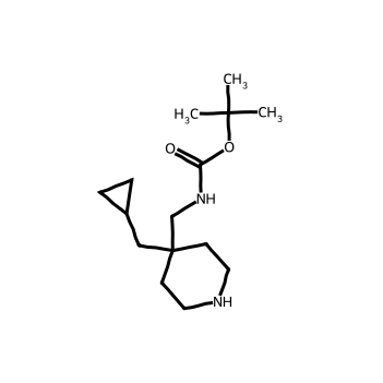 CC(C)(C)OC(=O)NCC1(CC2CC2)CCNCC1